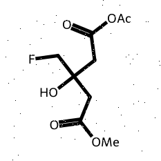 COC(=O)CC(O)(CF)CC(=O)OC(C)=O